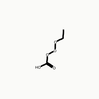 CCOOOC(=O)O